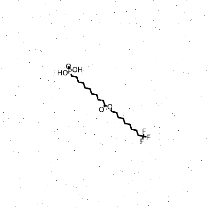 O=C(CCCCCCCCCCP(=O)(O)O)OCCCCCCCCCC(F)(F)F